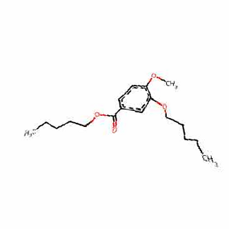 CCCCCOC(=O)c1ccc(OC)c(OCCCCC)c1